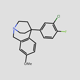 COc1ccc2c(c1)CN1CCC2(c2ccc(F)c(Cl)c2)CC1